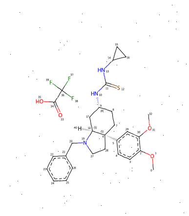 COc1ccc([C@@]23CC[C@@H](NC(=S)NC4CC4)C[C@@H]2N(Cc2ccccc2)CC3)cc1OC.O=C(O)C(F)(F)F